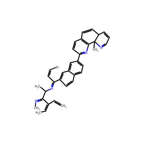 C=CC(=C/C)/C(=N\C)C(C)/N=C(\C=C/CC)c1ccc2ccc(-c3ccc4c(n3)C3(C)N=CC=CC3C=C4)cc2c1